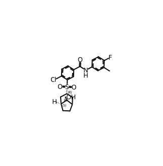 Cc1cc(NC(=O)c2ccc(Cl)c(S(=O)(=O)[C@@H]3CC4CC[C@@H](C3)[C@]4(C)O)c2)ccc1F